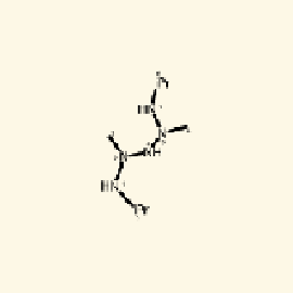 CC(C)NN(C)NN(C)NC(C)C